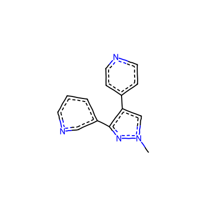 Cn1cc(-c2ccncc2)c(-c2cccnc2)n1